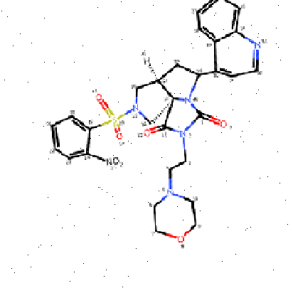 O=C1N(CCN2CCOCC2)C(=O)[C@@]23CN(S(=O)(=O)c4ccccc4[N+](=O)[O-])C[C@H]2CC(c2ccnc4ccccc24)N13